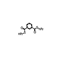 CCCSC(=O)c1cccc(C(=O)SCCC)c1